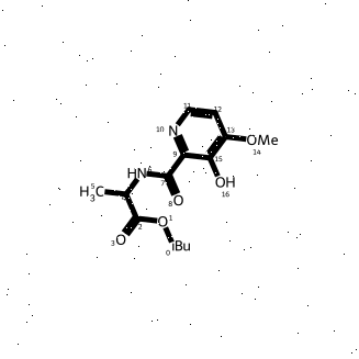 CCC(C)OC(=O)C(C)NC(=O)c1nccc(OC)c1O